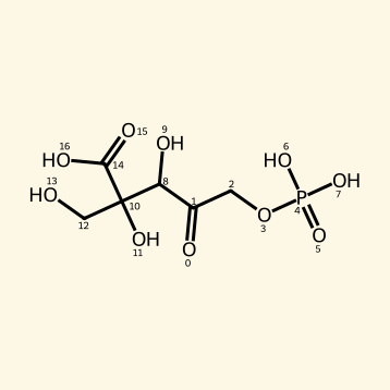 O=C(COP(=O)(O)O)C(O)C(O)(CO)C(=O)O